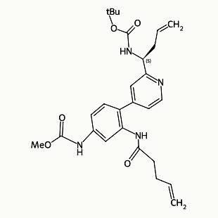 C=CCCC(=O)Nc1cc(NC(=O)OC)ccc1-c1ccnc([C@H](CC=C)NC(=O)OC(C)(C)C)c1